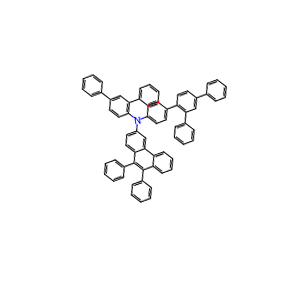 c1ccc(-c2ccc(-c3ccc(N(c4ccc5c(-c6ccccc6)c(-c6ccccc6)c6ccccc6c5c4)c4ccc(-c5ccccc5)cc4-c4ccccc4)cc3)c(-c3ccccc3)c2)cc1